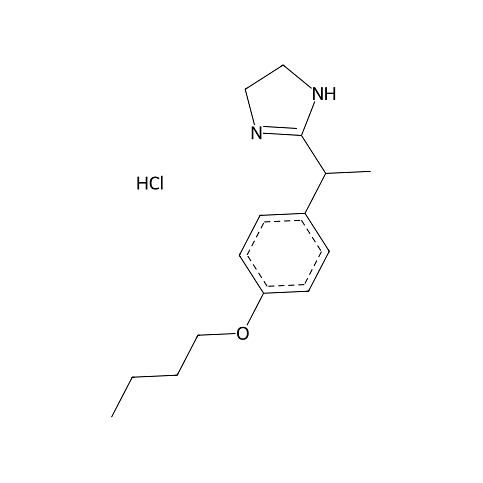 CCCCOc1ccc(C(C)C2=NCCN2)cc1.Cl